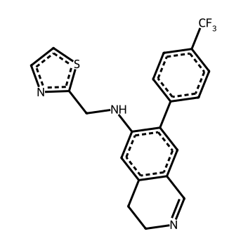 FC(F)(F)c1ccc(-c2cc3c(cc2NCc2nccs2)CCN=C3)cc1